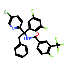 O=C(NC(Cc1ccccc1)(c1cc(F)cc(F)c1)c1ccc(Cl)cn1)c1ccc(F)c(C(F)(F)F)c1